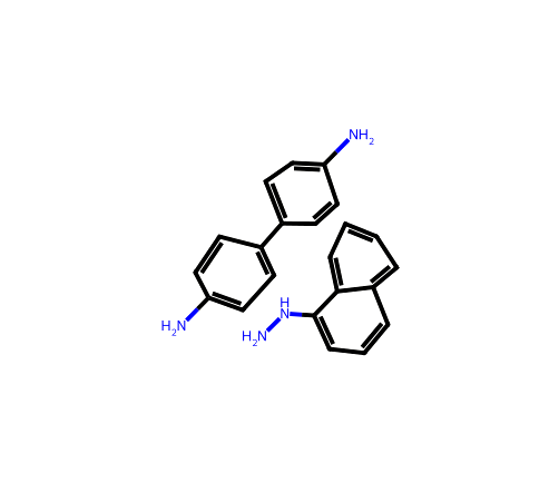 NNc1cccc2ccccc12.Nc1ccc(-c2ccc(N)cc2)cc1